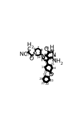 C=C(C#N)C(=O)N1CCC[C@@H](n2nc(-c3ccc(Oc4ccccc4)cc3)c3c(N)n[nH]c(=O)c32)C1